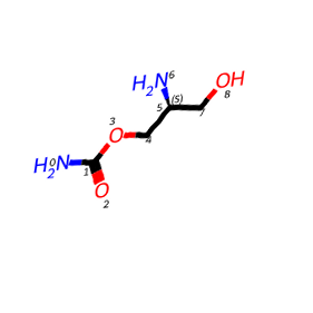 NC(=O)OC[C@@H](N)CO